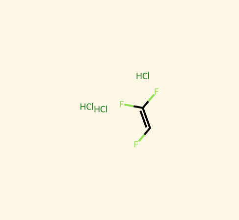 Cl.Cl.Cl.FC=C(F)F